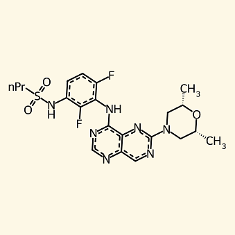 CCCS(=O)(=O)Nc1ccc(F)c(Nc2ncnc3cnc(N4C[C@@H](C)O[C@@H](C)C4)nc23)c1F